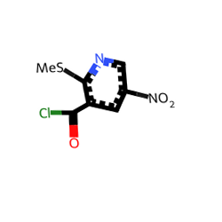 CSc1ncc([N+](=O)[O-])cc1C(=O)Cl